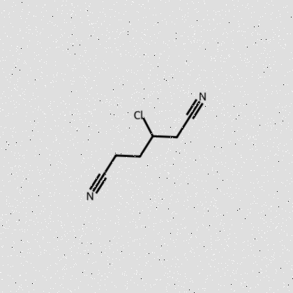 N#CCCC(Cl)CC#N